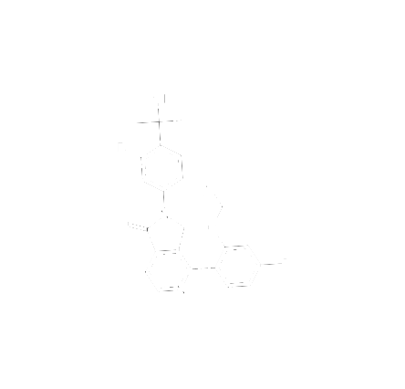 CC(C)(O)c1ccc(N2Cc3c(ccnc3-c3ccc(F)cc3OCC(F)(F)F)C2=O)cc1F